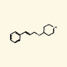 C(=C\c1ccccc1)/COC1CCNCC1